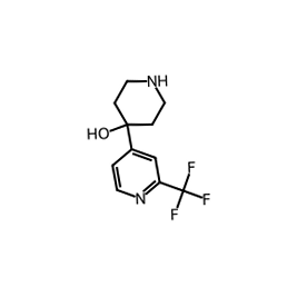 OC1(c2ccnc(C(F)(F)F)c2)CCNCC1